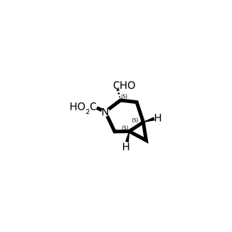 O=C[C@@H]1C[C@@H]2C[C@@H]2CN1C(=O)O